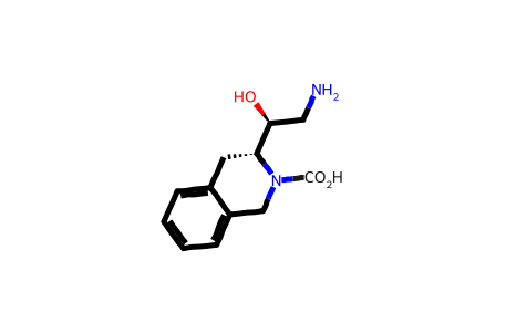 NC[C@H](O)[C@H]1Cc2ccccc2CN1C(=O)O